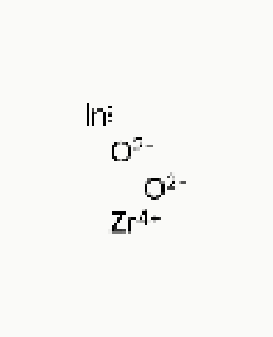 [In].[O-2].[O-2].[Zr+4]